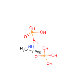 CCCCCC.N.O=P(O)(O)O.O=P(O)(O)O